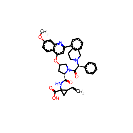 C=CC1CC1(NC(=O)[C@@H]1C[C@@H](Oc2cc(-c3ccccc3)nc3cc(OC)ccc23)CN1C(=O)[C@H](c1ccccc1)N1CCCCC1)C(=O)O